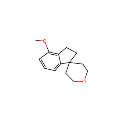 COc1cccc2c1CCC21CCOCC1